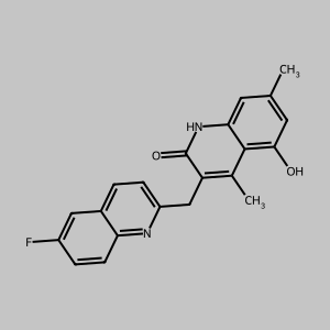 Cc1cc(O)c2c(C)c(Cc3ccc4cc(F)ccc4n3)c(=O)[nH]c2c1